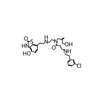 C=C(CO)CN(CCNCCc1ccc(O)c2[nH]c(=O)sc12)C(=O)CCNCCc1cccc(Cl)c1